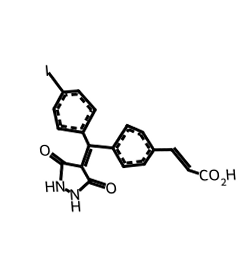 O=C(O)/C=C/c1ccc(C(=C2C(=O)NNC2=O)c2ccc(I)cc2)cc1